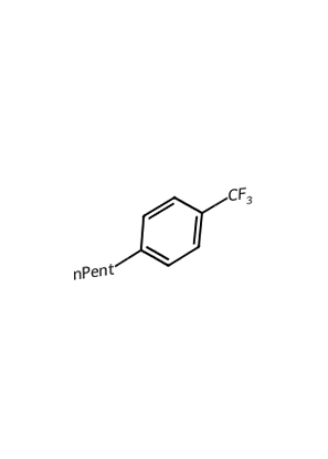 CC[CH]CCc1ccc(C(F)(F)F)cc1